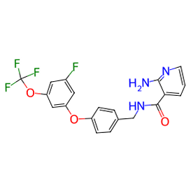 Nc1ncccc1C(=O)NCc1ccc(Oc2cc(F)cc(OC(F)(F)F)c2)cc1